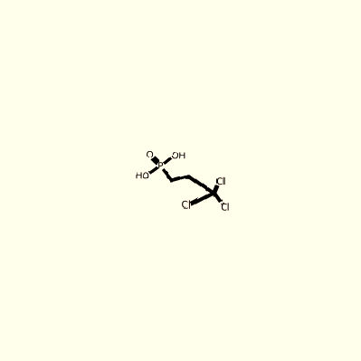 O=P(O)(O)CCC(Cl)(Cl)Cl